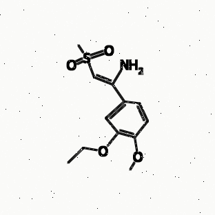 CCOc1cc(/C(N)=C/S(C)(=O)=O)ccc1OC